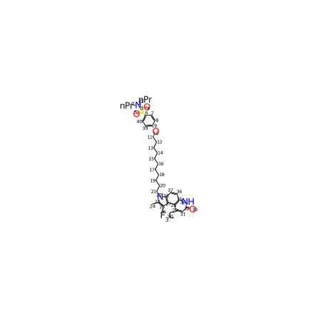 CCCN(CCC)S(=O)(=O)c1ccc(OCCCCCCCCCCCn2c(C)c(C)c3c4c(C(F)(F)F)cc(=O)[nH]c4ccc32)cc1